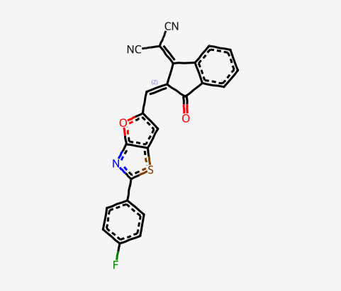 N#CC(C#N)=C1/C(=C/c2cc3sc(-c4ccc(F)cc4)nc3o2)C(=O)c2ccccc21